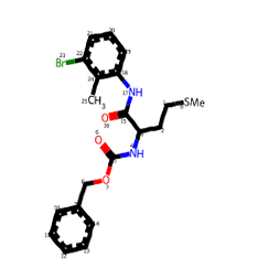 CSCCC(NC(=O)OCc1ccccc1)C(=O)Nc1cccc(Br)c1C